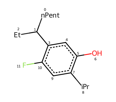 CCCCCC(CC)c1cc(O)c(C(C)C)cc1F